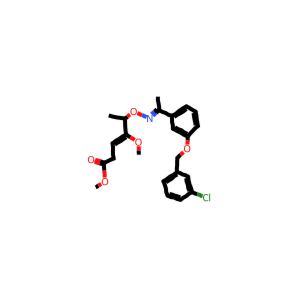 COC(=O)CC=C(OC)C(C)ON=C(C)c1cccc(OCc2cccc(Cl)c2)c1